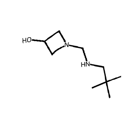 CC(C)(C)CNCN1CC(O)C1